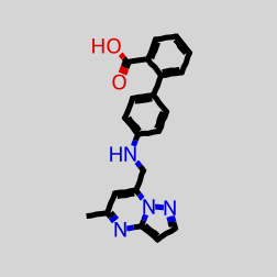 Cc1cc(CNc2ccc(-c3ccccc3C(=O)O)cc2)n2nccc2n1